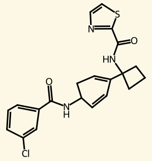 O=C(NC1C=CC(C2(NC(=O)c3nccs3)CCC2)=CC1)c1cccc(Cl)c1